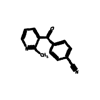 Cc1ncccc1C(=O)c1ccc(C#N)cc1